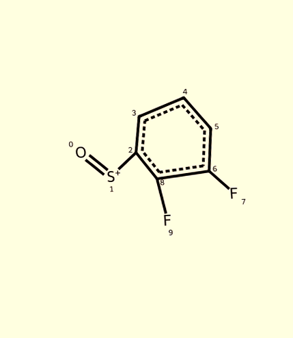 O=[S+]c1cccc(F)c1F